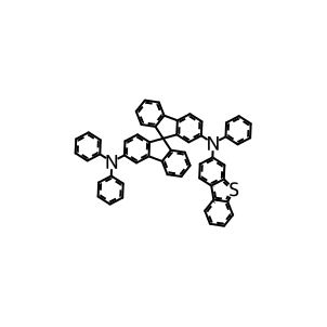 c1ccc(N(c2ccccc2)c2ccc3c(c2)-c2ccccc2C32c3ccccc3-c3ccc(N(c4ccccc4)c4ccc5c(c4)sc4ccccc45)cc32)cc1